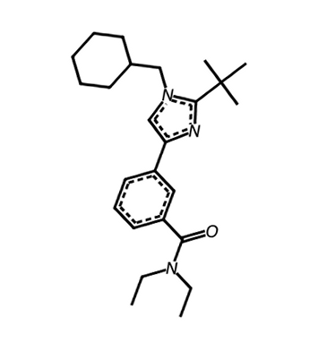 CCN(CC)C(=O)c1cccc(-c2cn(CC3CCCCC3)c(C(C)(C)C)n2)c1